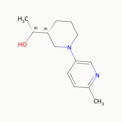 Cc1ccc(N2CCC[C@@H]([C@@H](C)O)C2)cn1